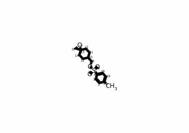 Cc1ccc(S(=O)(=O)OCC2CCC3(CC2)CO3)cc1